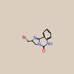 O=C1Nc2ccccc2C2=NC(CBr)CN12